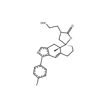 C[C@]12Cc3cnn(-c4ccc(F)cc4)c3C=C1CCC[C@@]21CN(CCC=O)C(=O)O1